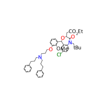 CCOC(=O)CC1OC(c2cccc(OCCCN(CCCc3ccccc3)CCCc3ccccc3)c2OC)c2cc(Cl)ccc2N(CC(C)(C)C)C1=O